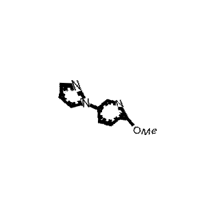 COc1ccc(-n2cccn2)cn1